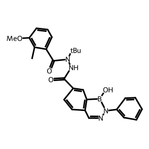 COc1cccc(C(=O)N(NC(=O)c2ccc3c(c2)B(O)N(c2ccccc2)N=C3)C(C)(C)C)c1C